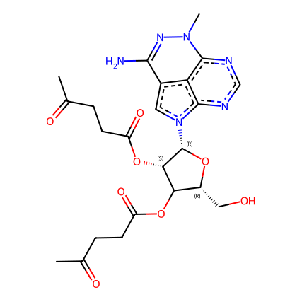 CC(=O)CCC(=O)OC1[C@@H](CO)O[C@@H](n2cc3c4c(ncnc42)N(C)N=C3N)[C@H]1OC(=O)CCC(C)=O